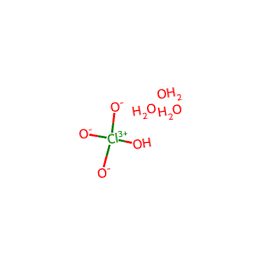 O.O.O.[O-][Cl+3]([O-])([O-])O